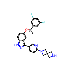 C[C@@H](Oc1ccc2[nH]nc(-c3ccc(N4CC5(CNC5)C4)nc3)c2c1)c1cc(F)cc(F)c1